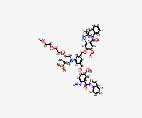 C=Nc1cc(OCc2cc(COc3cc4c(cc3OC)C(=O)N3c5ccccc5C[C@H]3C=N4)cc(N(CCOCCOCCOC)C[C@H](C)S(C)=S)c2)c(OC)cc1C(=O)N1CCc2ccccc21